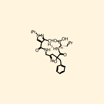 Cc1nn(C(C)C)cc1C(=O)NCC1=NOC(Cc2ccccc2)(C(=O)N[C@@H](CC(C)C)B(O)O)C1